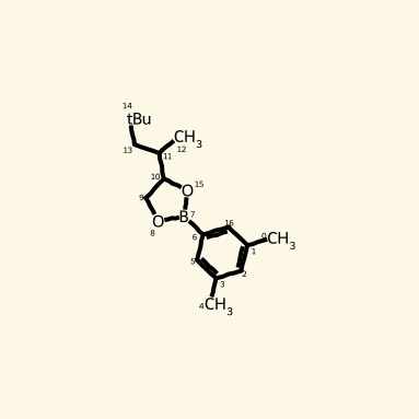 Cc1cc(C)cc(B2OCC(C(C)CC(C)(C)C)O2)c1